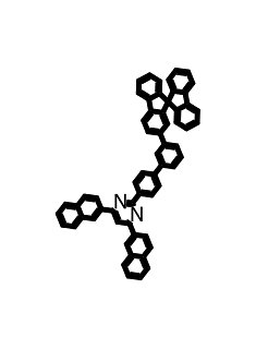 c1cc(-c2ccc(-c3nc(-c4ccc5ccccc5c4)cc(-c4ccc5ccccc5c4)n3)cc2)cc(-c2ccc3c(c2)C2(c4ccccc4-c4ccccc42)c2ccccc2-3)c1